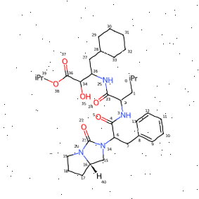 CC(C)CC(NC(=O)C(Cc1ccccc1)N1C[C@@H]2CCCN2C1=O)C(=O)NC(CC1CCCCC1)C(O)C(=O)OC(C)C